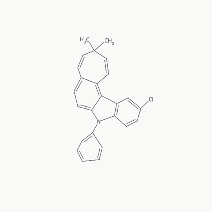 CC1(C)C=Cc2ccc3c(c2C=C1)c1cc(Cl)ccc1n3-c1ccccc1